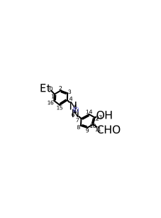 CCc1ccc(/N=N/c2ccc(C=O)c(O)c2)cc1